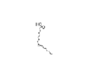 CCCCCCCC1=C(CCCCCCCC(=O)O)C1